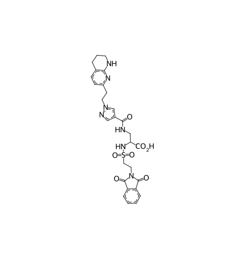 O=C(NCC(NS(=O)(=O)CCN1C(=O)c2ccccc2C1=O)C(=O)O)c1cnn(CCc2ccc3c(n2)NCCC3)c1